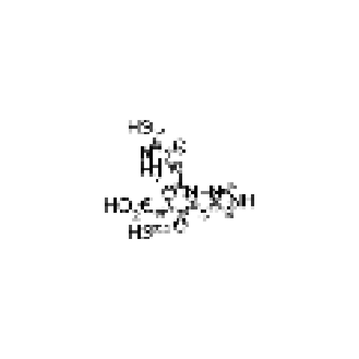 N[C@@H](CS)C(=O)NCC(=O)N[C@@H](Cc1c[nH]cn1)C(=O)N[C@@H](CS)C(=O)O